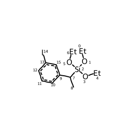 CCO[Si](OCC)(OCC)C(C)c1cccc(I)c1